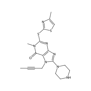 CC#CCn1c(N2CCNCC2)nc2nc(Sc3nc(C)cs3)n(C)c(=O)c21